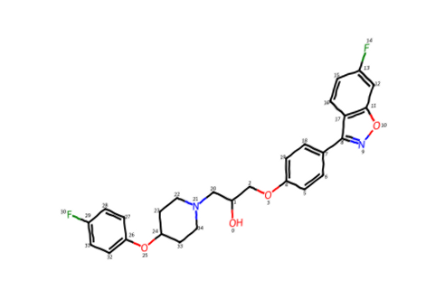 OC(COc1ccc(-c2noc3cc(F)ccc23)cc1)CN1CCC(Oc2ccc(F)cc2)CC1